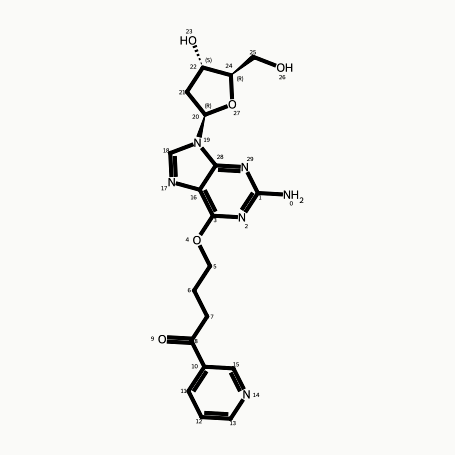 Nc1nc(OCCCC(=O)c2cccnc2)c2ncn([C@H]3C[C@H](O)[C@@H](CO)O3)c2n1